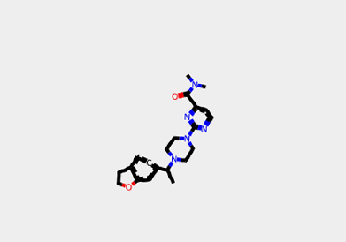 CC(c1ccc2c(c1)OCC2)N1CCN(c2nccc(C(=O)N(C)C)n2)CC1